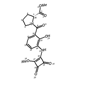 COC(=O)[C@H]1CCCN1C(=O)c1cccc(Nc2c(OC)c(=O)c2=O)c1O